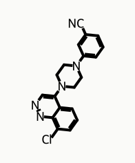 N#Cc1cccc(N2CCN(c3cnnc4c(Cl)cccc34)CC2)c1